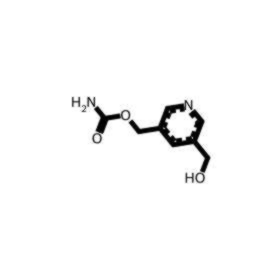 NC(=O)OCc1cncc(CO)c1